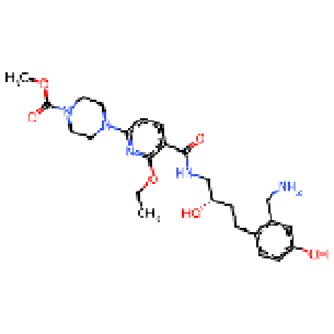 CCOc1nc(N2CCN(C(=O)OC)CC2)ccc1C(=O)NC[C@@H](O)CCc1ccc(O)cc1CN